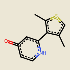 Cc1csc(C)c1-c1cc(=O)cc[nH]1